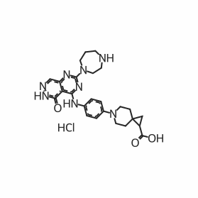 Cl.O=C(O)C1CC12CCN(c1ccc(Nc3nc(N4CCCNCC4)nc4cn[nH]c(=O)c34)cc1)CC2